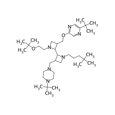 CC(C)(C)CCCN1CC(CN2CCN(C(C)(C)C)CC2)C1C1C(COc2cnc(C(C)(C)C)cn2)CN1CCOC(C)(C)C